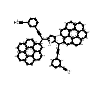 C#Cc1cccc(C#CC(c2ccc(C(C#Cc3cccc(C#C)c3)c3cc4ccc5ccc6ccc7ccc8ccc3c3c8c7c6c5c43)o2)c2cc3ccc4ccc5ccc6ccc7ccc2c2c7c6c5c4c32)c1